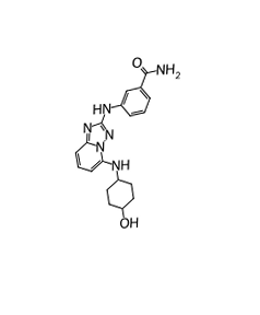 NC(=O)c1cccc(Nc2nc3cccc(NC4CCC(O)CC4)n3n2)c1